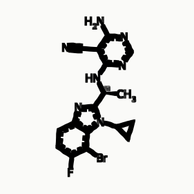 C[C@H](Nc1ncnc(N)c1C#N)c1nc2ccc(F)c(Br)c2n1C1CC1